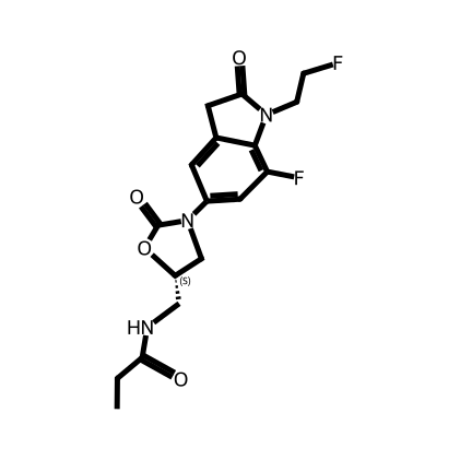 CCC(=O)NC[C@H]1CN(c2cc(F)c3c(c2)CC(=O)N3CCF)C(=O)O1